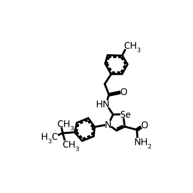 Cc1ccc(CC(=O)NC2[Se]C(C(N)=O)=CN2c2ccc(C(C)(C)C)cc2)cc1